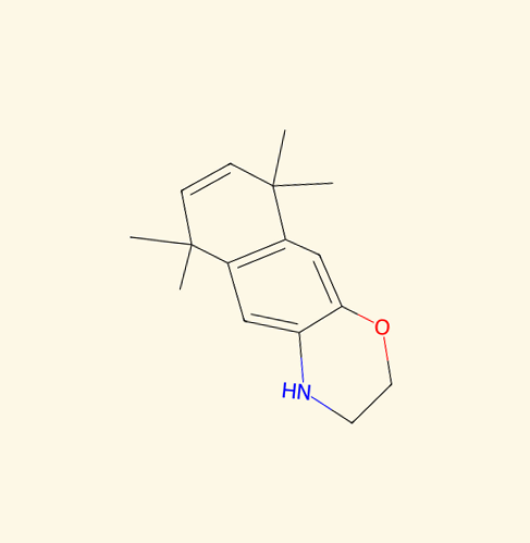 CC1(C)C=CC(C)(C)c2cc3c(cc21)NCCO3